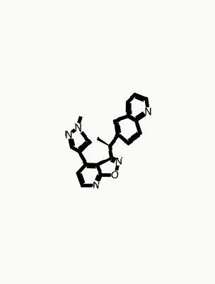 C[C@@H](c1ccc2ncccc2c1)c1noc2nccc(-c3cnn(C)c3)c12